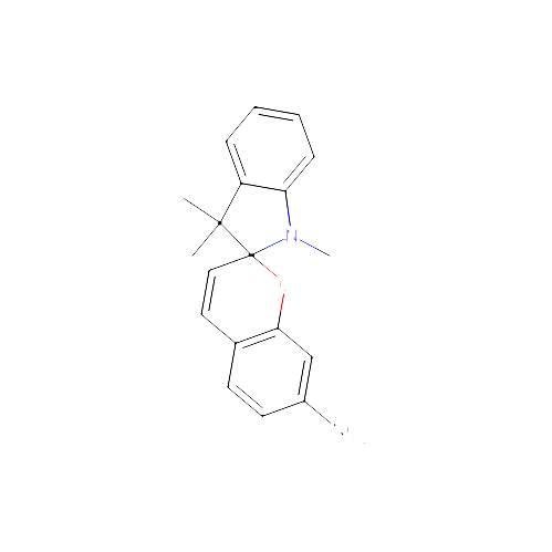 CN1c2ccccc2C(C)(C)C12C=Cc1ccc([N+](=O)[O-])cc1O2